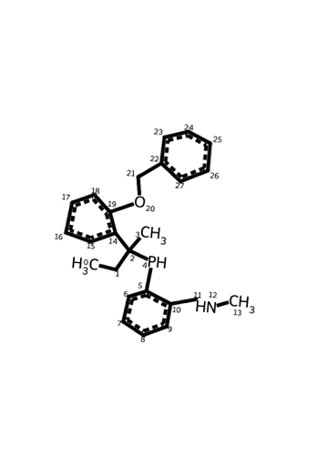 CCC(C)(Pc1ccccc1CNC)c1ccccc1OCc1ccccc1